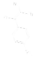 N#CC(C#N)=C(Cl)c1ccc([N+](=O)[O-])cc1